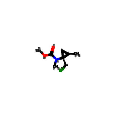 C[C@H]1C[C@]1(CBr)N(C)C(=O)OC(C)(C)C